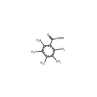 COC(=O)c1c(C)c(C)c(C)c(C)c1[N+](=O)[O-]